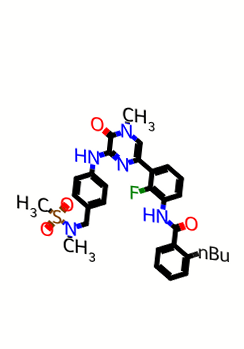 CCCCc1ccccc1C(=O)Nc1cccc(-c2cn(C)c(=O)c(Nc3ccc(CN(C)S(C)(=O)=O)cc3)n2)c1F